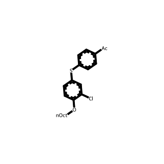 CCCCCCCCOc1ccc(Sc2ccc(C(C)=O)cc2)cc1Cl